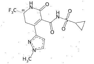 Cn1ccc(C2=C(C(=O)NS(=O)(=O)C3CC3)C(=O)N[C@@H](C(F)(F)F)C2)n1